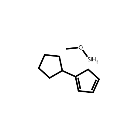 C1=CCC(C2CCCC2)=C1.CO[SiH3]